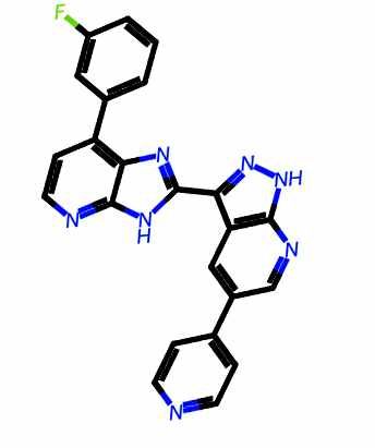 Fc1cccc(-c2ccnc3[nH]c(-c4n[nH]c5ncc(-c6ccncc6)cc45)nc23)c1